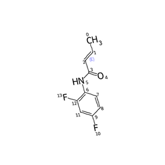 C/C=C/C(=O)Nc1ccc(F)cc1F